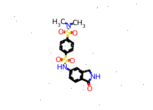 CN(C)S(=O)(=O)c1ccc(S(=O)(=O)Nc2ccc3c(c2)CNC3=O)cc1